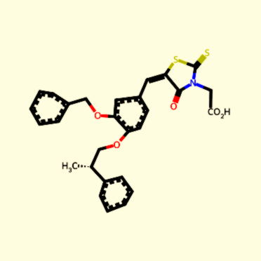 C[C@H](COc1ccc(C=C2SC(=S)N(CC(=O)O)C2=O)cc1OCc1ccccc1)c1ccccc1